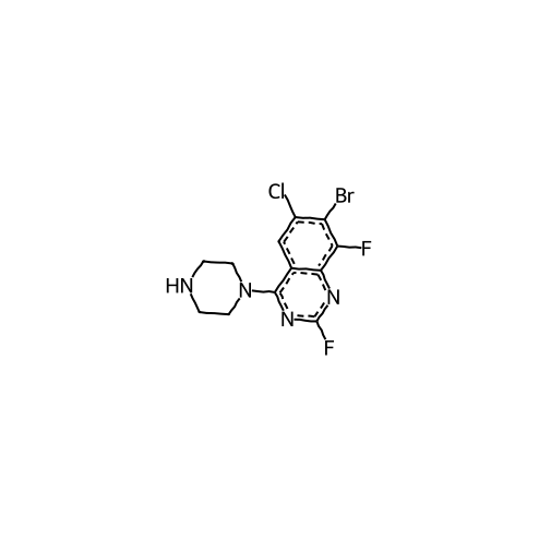 Fc1nc(N2CCNCC2)c2cc(Cl)c(Br)c(F)c2n1